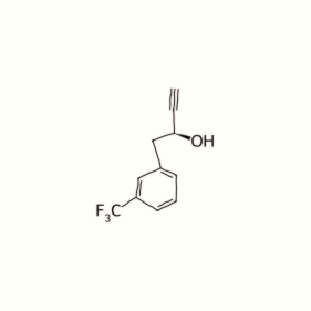 C#C[C@@H](O)Cc1cccc(C(F)(F)F)c1